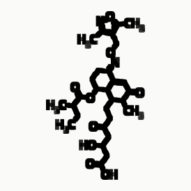 CCC(C)C(=O)OC1CCC(=NOCc2c(C)noc2C)C2=CC(=O)C(C)C(CCC(=O)CC(O)CC(=O)O)C21